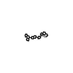 c1cc(-c2ccc3cc(-c4cc5ccccc5c5ccccc45)ccc3c2)cc(-c2ccc3ccc4cccnc4c3n2)c1